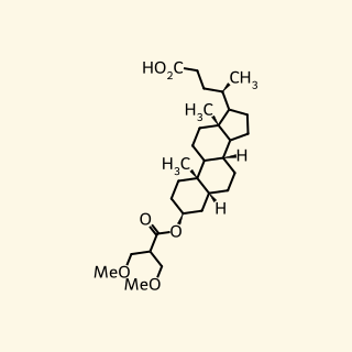 COCC(COC)C(=O)O[C@H]1CC[C@]2(C)C3CC[C@@]4(C)C(CCC4[C@H](C)CCC(=O)O)[C@@H]3CC[C@@H]2C1